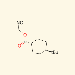 CC(C)(C)[C@H]1CC[C@H](C(=O)OCN=O)CC1